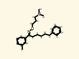 Cc1cccc(C(CCCCCc2ccccc2)=NOCCCN(C)C)c1